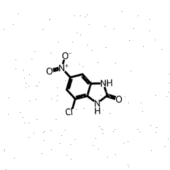 O=c1[nH]c2cc([N+](=O)[O-])cc(Cl)c2[nH]1